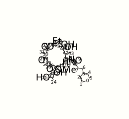 C/C=C\C(=C/C)CCC(=O)N/N=C1\[C@H](C)C[C@@](C)(OC)[C@H](OC(O)C(C)O)[C@@H](C)C(=O)[C@@H](C)C(=O)O[C@H](CC)[C@@](C)(O)[C@H](O)[C@H]1C